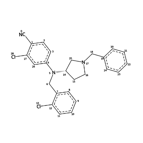 N#Cc1ccc(N(Cc2ccccc2Cl)[C@H]2CCN(Cc3ccccc3)C2)cc1Cl